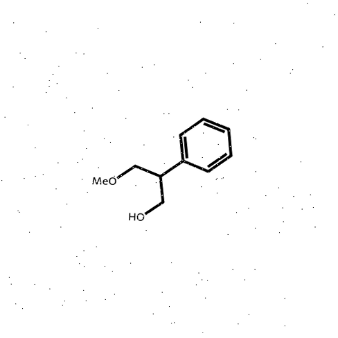 COCC(CO)c1ccccc1